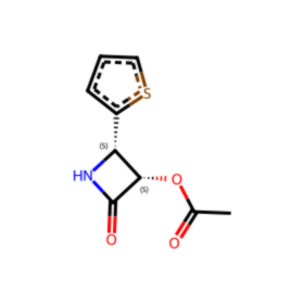 CC(=O)O[C@@H]1C(=O)N[C@@H]1c1cccs1